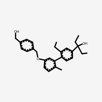 CCc1cc(C(O)(CC)CC)ccc1-c1cc(OCc2c[c]c(CO)cc2)ccc1C